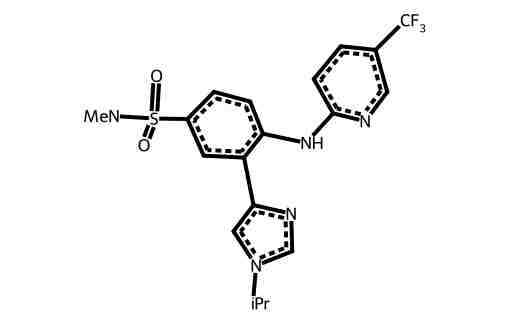 CNS(=O)(=O)c1ccc(Nc2ccc(C(F)(F)F)cn2)c(-c2cn(C(C)C)cn2)c1